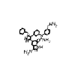 NCc1cccc(N(C(N)=O)c2cccc(-c3c(-c4ccc5[nH]nc(N)c5c4)nnn3Cc3ccccc3)c2)c1